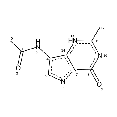 CC(=O)Nc1cnn2c(=O)nc(C)[nH]c12